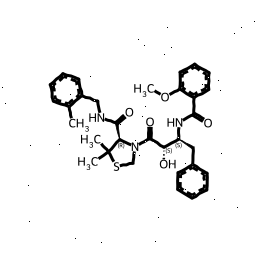 COc1ccccc1C(=O)N[C@@H](Cc1ccccc1)[C@H](O)C(=O)N1CSC(C)(C)[C@H]1C(=O)NCc1ccccc1C